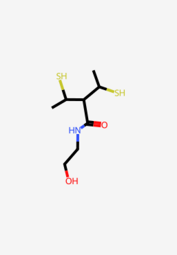 CC(S)C(C(=O)NCCO)C(C)S